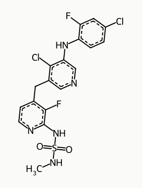 CNS(=O)(=O)Nc1nccc(Cc2cncc(Nc3ccc(Cl)cc3F)c2Cl)c1F